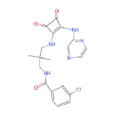 CC(C)(CNC(=O)c1cccc(Cl)c1)CNc1c(Nc2cnccn2)c(=O)c1=O